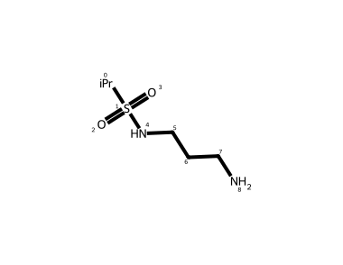 CC(C)S(=O)(=O)NCCCN